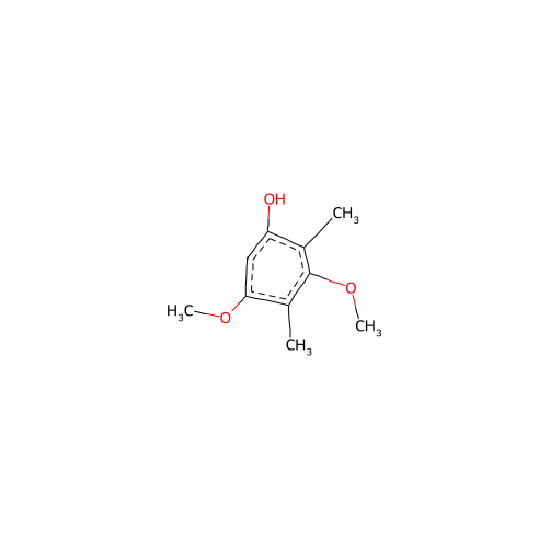 COc1cc(O)c(C)c(OC)c1C